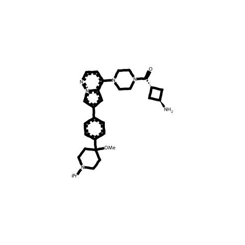 COC1(c2ccc(-c3cc4c(N5CCN(C(=O)[C@H]6C[C@H](N)C6)CC5)ccnn4c3)cc2)CCN(C(C)C)CC1